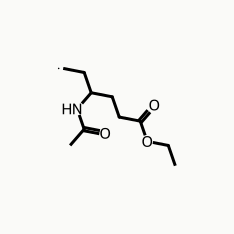 [CH2]CC(CCC(=O)OCC)NC(C)=O